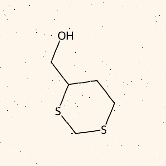 OCC1CCS[CH]S1